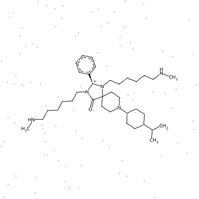 CNCCCCCCN1C(=O)C2(CCN(C3CCC(C(C)C)CC3)CC2)N(CCCCCCNC)[C@@H]1c1ccccc1